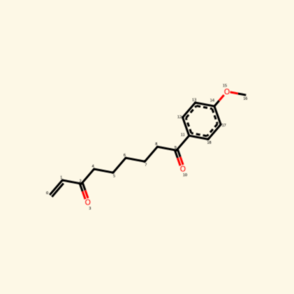 C=CC(=O)CCCCCC(=O)c1ccc(OC)cc1